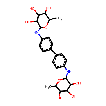 CC1OC(Nc2ccc(-c3ccc(NC4OC(C)C(O)C(O)C4O)cc3)cc2)C(O)C(O)C1O